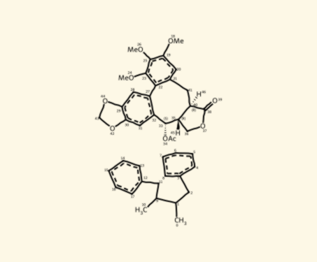 CC(Cc1ccccc1)C(C)Cc1ccccc1.COc1cc2c(c(OC)c1OC)-c1cc3c(cc1[C@@H](OC(C)=O)[C@H]1COC(=O)[C@@H]1C2)OCO3